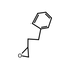 [c]1ccccc1CCC1CO1